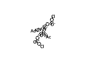 CC(=O)N1CCN(C(C[S+]([O-])Cc2ccc([S+]([O-])c3ccc(Cl)cc3)cc2)C(=O)C(C[S+]([O-])Cc2ccc([S+]([O-])c3ccc(Cl)cc3)cc2)N2CCN(C(C)=O)CC2)CC1